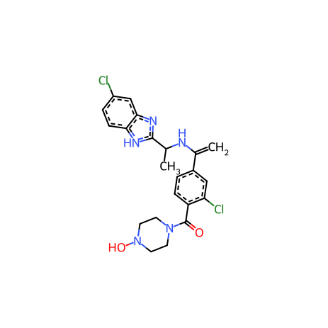 C=C(NC(C)c1nc2cc(Cl)ccc2[nH]1)c1ccc(C(=O)N2CCN(O)CC2)c(Cl)c1